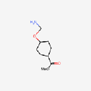 COC(=O)C1CCC(OCN)CC1